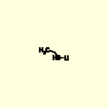 [Li][BH]CC